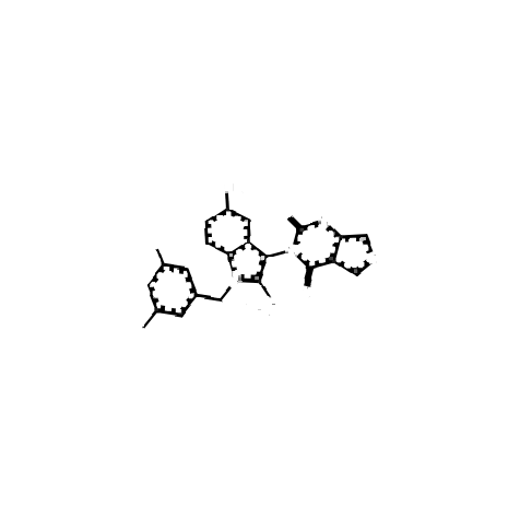 O=C(O)c1c(-n2c(=O)[nH]c3cscc3c2=O)c2cc(C(F)(F)F)ccc2n1Cc1cc(F)cc(Cl)c1